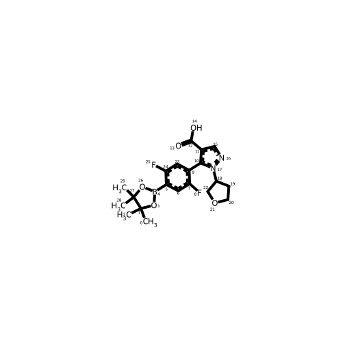 CC1(C)OB(c2cc(F)c(-c3c(C(=O)O)cnn3C3CCOC3)cc2F)OC1(C)C